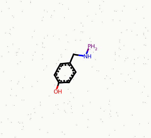 Oc1ccc(CNP)cc1